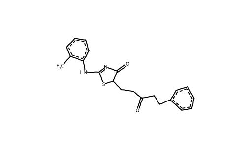 O=C(CCc1ccccc1)CCC1SC(Nc2ccccc2C(F)(F)F)=NC1=O